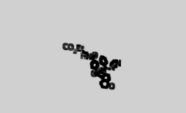 CCOC(=O)CCNC(=O)c1ccc(S(=O)(=O)Cc2c(O[C@H](Cn3ccnc3)c3ccccc3)ccc3c2CCCC3=O)cc1